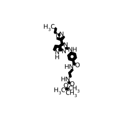 CCCn1cc(-c2nc(Nc3ccc(C(=O)NCCCNC(=O)OC(C)(C)C)cc3)nc3[nH]ccc23)cn1